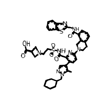 Cc1c(-c2ccc(N3CCc4cccc(C(=O)Nc5nc6ccccc6s5)c4C3)nc2C(=O)NS(=O)(=O)CCN2CC(C(=O)O)C2)cnn1CC1CCCCC1